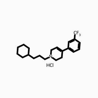 Cl.FC(F)(F)c1cccc(C2=CCN(CCCC3CCCCC3)CC2)c1